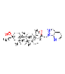 C[C@@]1(O)CC[C@H]2[C@H](CC[C@@H]3[C@@H]2CC[C@]2(C)[C@@H](C(=O)Cn4ncc5cccnc54)CC[C@@H]32)C1